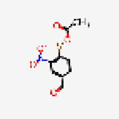 CC(=O)OSc1ccc(C=O)cc1[N+](=O)[O-]